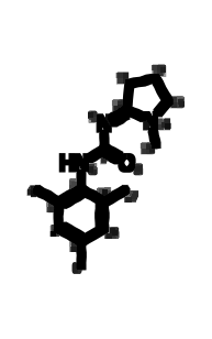 Cc1cc(C)c(NC(=O)N=C2CCCN2C)c(C)c1